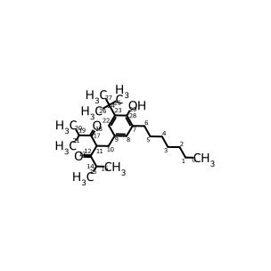 CCCCCCCc1cc(CC(C(=O)C(C)C)C(=O)C(C)C)cc(C(C)(C)C)c1O